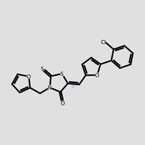 O=C1/C(=C/c2ccc(-c3ccccc3Cl)o2)SC(=S)N1Cc1ccco1